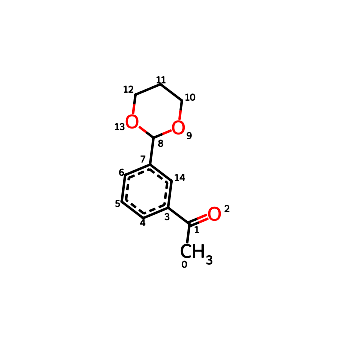 CC(=O)c1cccc(C2OCCCO2)c1